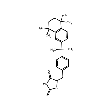 CC1(C)CCC(C)(C)c2cc(C(C)(C)c3ccc(CC4SC(=S)NC4=O)cc3)ccc21